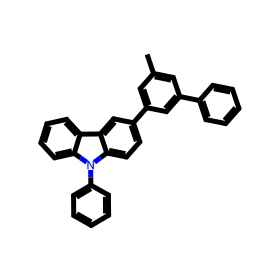 Cc1cc(-c2ccccc2)cc(-c2ccc3c(c2)c2ccccc2n3-c2ccccc2)c1